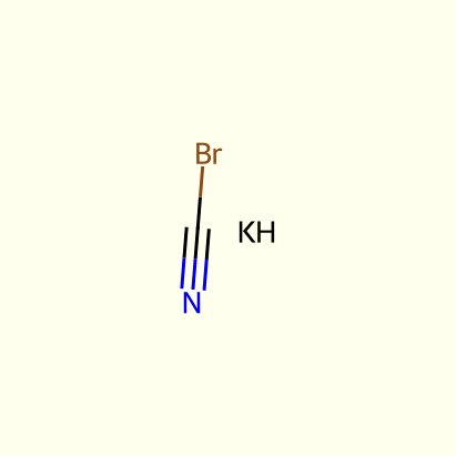 N#CBr.[KH]